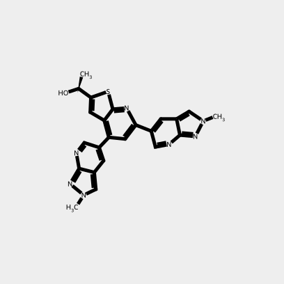 C[C@H](O)c1cc2c(-c3cnc4nn(C)cc4c3)cc(-c3cnc4nn(C)cc4c3)nc2s1